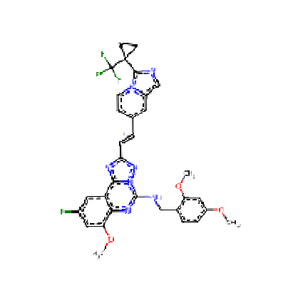 COc1ccc(CNc2nc3c(OC)cc(F)cc3c3nc(/C=C/c4ccn5c(C6(C(F)(F)F)CC6)ncc5c4)nn23)c(OC)c1